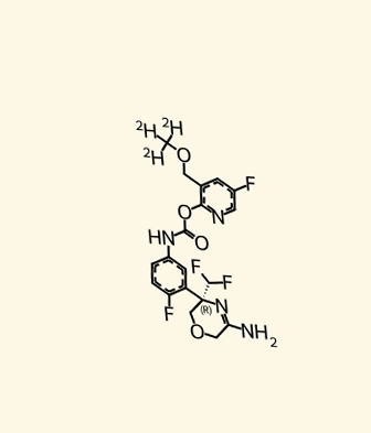 [2H]C([2H])([2H])OCc1cc(F)cnc1OC(=O)Nc1ccc(F)c([C@]2(C(F)F)COCC(N)=N2)c1